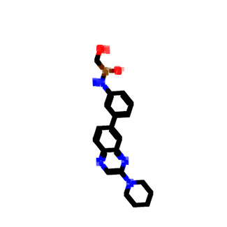 [O-][S+](CO)Nc1cccc(-c2ccc3ncc(N4CCCCC4)nc3c2)c1